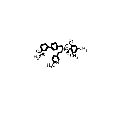 Cc1cc(C)c(S(=O)(=O)N(CCc2ccc(C)nc2)Cc2ccc(-c3cccc(S(C)(=O)=O)c3)cc2)c(C)c1